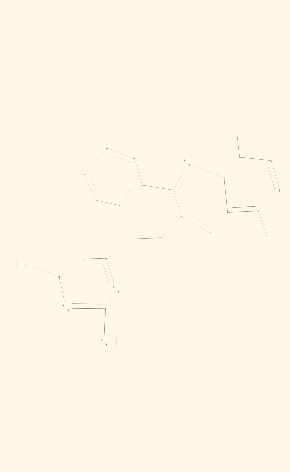 Cc1cc(OCc2cc3c(Cl)ccc(C)c3nc2-c2ccccc2C)nc(N)n1